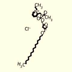 CCCCCCCCCCCCCCCCOC[C@@H]1CO[C@@H](COC(=O)N(Cc2cccc[n+]2CCC)C(C)=O)C1.[Cl-]